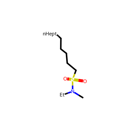 [CH2]CN(C)S(=O)(=O)CCCCCCCCCCCC